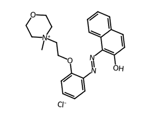 C[N+]1(CCOc2ccccc2N=Nc2c(O)ccc3ccccc23)CCOCC1.[Cl-]